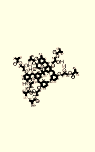 C=C(C)C(=O)OCC(O)COc1ccc(C)cc1Cc1cc(C(C)(C)c2cc(Cc3cc(C)ccc3OCC(O)COC(=O)C(=C)C)c(OCC(O)COC(=O)C(=C)C)c(Cc3cc(C)ccc3OCC(O)COC(=O)C(=C)C)c2)cc(Cc2cc(C)ccc2OCC(O)COC(=O)C(=C)C)c1OCC(O)COC(=O)C(=C)C